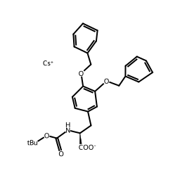 CC(C)(C)OC(=O)N[C@@H](Cc1ccc(OCc2ccccc2)c(OCc2ccccc2)c1)C(=O)[O-].[Cs+]